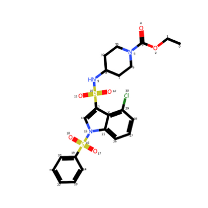 CCOC(=O)N1CCC(NS(=O)(=O)c2cn(S(=O)(=O)c3ccccc3)c3cccc(Cl)c23)CC1